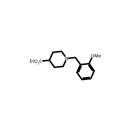 CCOC(=O)C1CCN(Cc2ccccc2OC)CC1